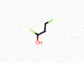 OC(F)[CH]CF